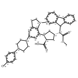 COC(=O)N(C1c2ccccc2-c2ccccc21)[C@@H]1C[C@@H](C(=O)O)N(c2nc(N3CCN(c4ccc(Cl)cc4)CC3)nc3c2[S+]([O-])CC3)C1